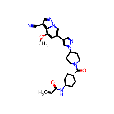 C=CC(=O)N[C@H]1CC[C@H](C(=O)N2CCC(n3cc(-c4cc(OC)c5c(C#N)cnn5c4)cn3)CC2)CC1